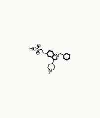 CN1CCC(c2cn(Cc3ccccc3)c3ccc(CCS(=O)(=O)O)cc23)CC1